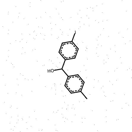 Cc1ccc(C(O)c2ccc(I)cc2)cc1